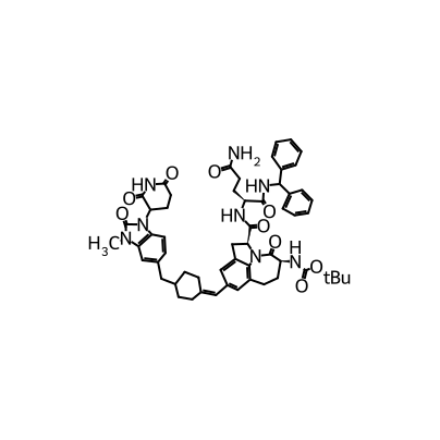 Cn1c(=O)n(C2CCC(=O)NC2=O)c2ccc(CC3CCC(=Cc4cc5c6c(c4)C[C@@H](C(=O)N[C@@H](CCC(N)=O)C(=O)NC(c4ccccc4)c4ccccc4)N6C(=O)[C@@H](NC(=O)OC(C)(C)C)CC5)CC3)cc21